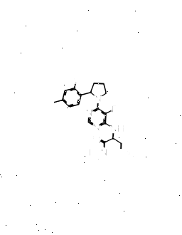 Cc1ccc(C2CCCN2c2ncnc(NC(CC(C)(C)C)C(N)=O)c2F)c(Cl)c1